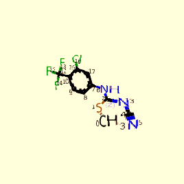 CS/C(=N\C#N)Nc1ccc(C(F)(F)F)c(Cl)c1